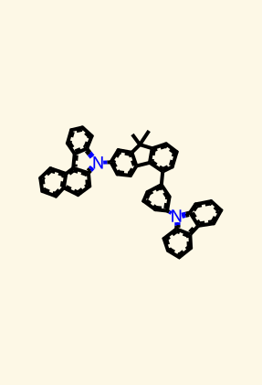 CC1(C)c2cc(-n3c4ccccc4c4c5ccccc5ccc43)ccc2-c2c(-c3cccc(-n4c5ccccc5c5ccccc54)c3)cccc21